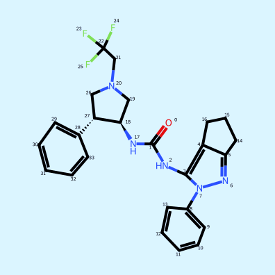 O=C(Nc1c2c(nn1-c1ccccc1)CCC2)N[C@@H]1CN(CC(F)(F)F)C[C@H]1c1ccccc1